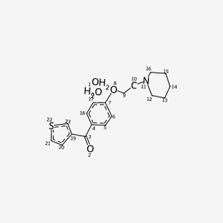 O.O.O=C(c1ccc(OCCN2CCCCC2)cc1)c1ccsc1